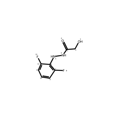 O=C(CO)NNc1c(F)cccc1F